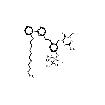 CCOC(=O)[C@@H](Cc1cc(O[Si](C)(C)C(C)(C)C)ccc1OCc1ccnc(-c2ccccc2OCCOCCOCCOC)n1)OC(C)=O